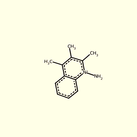 Cc1c(C)c2ccccc2[n+](N)c1C